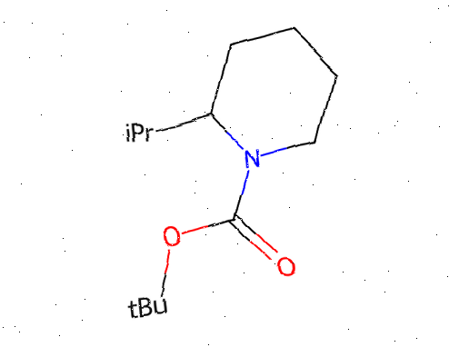 CC(C)C1CCCCN1C(=O)OC(C)(C)C